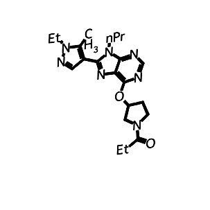 CCCn1c(-c2cnn(CC)c2C)nc2c(OC3CCN(C(=O)CC)C3)ncnc21